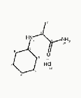 CC(NC1CCCCC1)C(N)=O.Cl